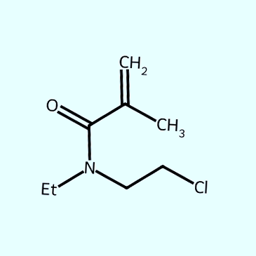 C=C(C)C(=O)N(CC)CCCl